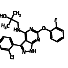 CC(C)(O)CNc1nc(Oc2ccccc2F)nc2[nH]nc(-c3ccccc3Cl)c12